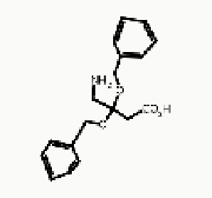 NCC(CC(=O)O)(OCc1ccccc1)OCc1ccccc1